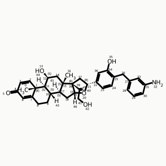 C[C@]12C=CC(=O)C=C1CC[C@@H]1[C@@H]2[C@@H](O)C[C@@]2(C)[C@H]1C[C@H]1O[C@@H](c3ccc(Cc4cccc(N)c4)c(O)c3)C[C@]12C(=O)CO